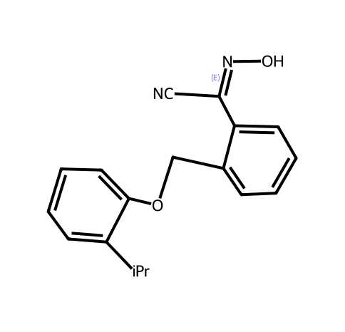 CC(C)c1ccccc1OCc1ccccc1/C(C#N)=N\O